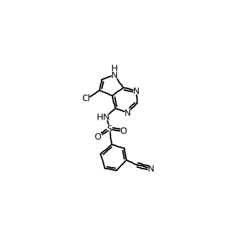 N#Cc1cccc(S(=O)(=O)Nc2ncnc3[nH]cc(Cl)c23)c1